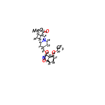 COC(=O)C1(CN2CCC(COc3noc4cccc(OCC(F)(F)F)c34)CC2)CCC1